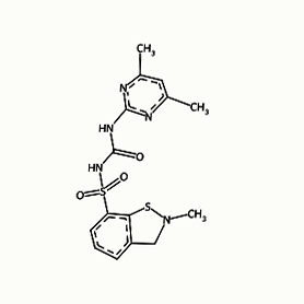 Cc1cc(C)nc(NC(=O)NS(=O)(=O)c2cccc3c2SN(C)C3)n1